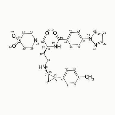 Cc1ccc([C@@H]2C[C@H]2NCC[C@H](NC(=O)c2ccc(-n3cccn3)cc2)C(=O)N2CCS(=O)(=O)CC2)cc1